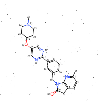 Cc1ccc2c(n1)N(Cc1cccc(-c3ncc(OC4CCN(C)CC4)cn3)c1)C(=O)C2